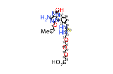 COCCOc1nc(N)c2nc(O)n(Cc3ccc(CNC(=S)NCCOCCOCCOCCC(=O)O)cc3)c2n1